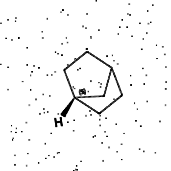 [CH]1C[C@H]2CCC1C2